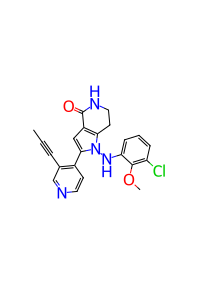 CC#Cc1cnccc1-c1cc2c(n1Nc1cccc(Cl)c1OC)CCNC2=O